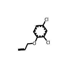 C=CCOc1c[c]c(Cl)cc1Cl